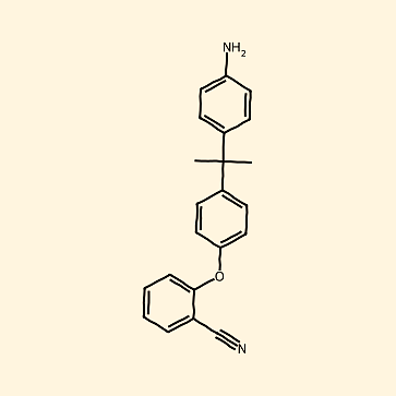 CC(C)(c1ccc(N)cc1)c1ccc(Oc2ccccc2C#N)cc1